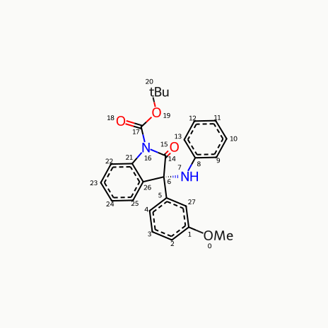 COc1cccc([C@]2(Nc3ccccc3)C(=O)N(C(=O)OC(C)(C)C)c3ccccc32)c1